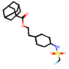 O=C(OCCC1CCC(NS(=O)(=O)CF)CC1)C12CC3CC(CC(C3)C1)C2